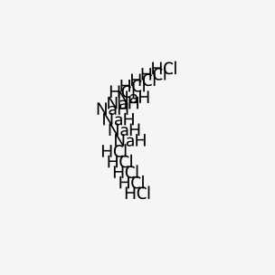 Cl.Cl.Cl.Cl.Cl.Cl.Cl.Cl.Cl.Cl.[NaH].[NaH].[NaH].[NaH].[NaH].[NaH]